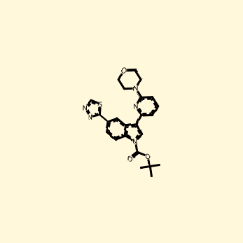 CC(C)(C)OC(=O)n1cc(-c2cccc(N3CCOCC3)n2)c2cc(-c3nncs3)ccc21